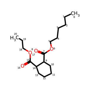 CCCCCCOC(=O)C1CCCCC1C(=O)OCCC